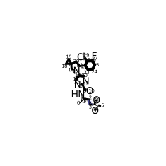 C[C@H](/C=C/S(C)(=O)=O)NC(=O)c1ncc(N2CC3(CC3)C[C@H]2c2cccc(F)c2Cl)cn1